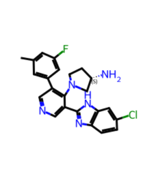 Cc1cc(F)cc(-c2cncc(-c3nc4ccc(Cl)cc4[nH]3)c2N2CC[C@H](N)C2)c1